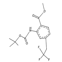 COC(=O)c1ccc(CC(F)(F)F)cc1NC(=O)OC(C)(C)C